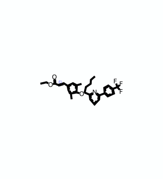 CCCCC(Oc1c(C)cc(/C=C/C(=O)OCC)cc1C)c1cccc(-c2ccc(C(F)(F)F)cc2)n1